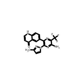 Cc1ccn(-c2nc(N)c(C(F)(F)F)nc2-c2ccc3[nH]ccc(=O)c3c2)n1